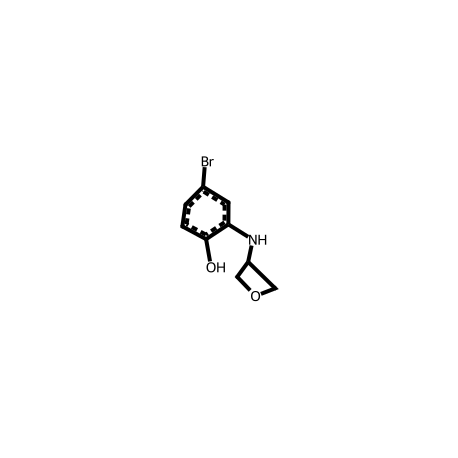 Oc1ccc(Br)cc1NC1COC1